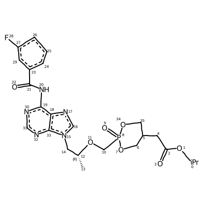 CC(C)OC(=O)CC1COP(=O)(CO[C@H](C)Cn2cnc3c(NC(=O)c4cccc(F)c4)ncnc32)OC1